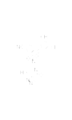 Cc1cc(Cl)cc(Sc2ccc(C#N)cc2S(=O)(=O)N2CCN(C(=O)c3snnc3C)CC2)c1